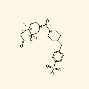 O=C1CO[C@H]2CCN(C(=O)N3CCC(Cc4ccc(S(=O)(=O)C(F)(F)F)cn4)CC3)C[C@H]2N1